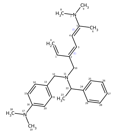 C=C/C(=C\C=C(/C)N(C)C)CN(Cc1ccc(N(C)C)cc1)C(C)c1ccccc1